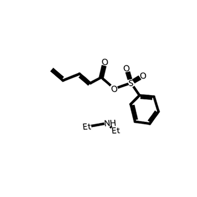 C=CC=CC(=O)OS(=O)(=O)c1ccccc1.CCNCC